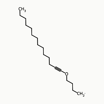 [CH2]CCCOC#CCCCCCCCCCCCC